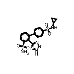 NS(=O)(=O)c1cccc(-c2ccc(S(=O)(=O)NC3CC3)cc2)c1-c1nn[nH]n1